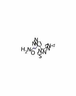 NC(=O)/C=C/c1c(-c2c(-c3ccn(C4CC4)n3)nc3sccn23)ccc2ncnn12